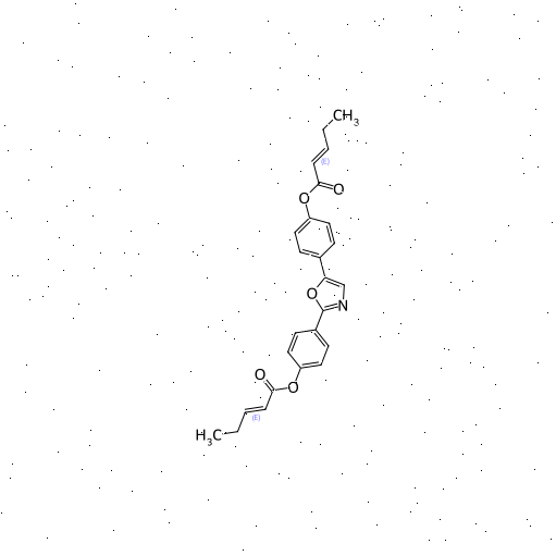 CC/C=C/C(=O)Oc1ccc(-c2cnc(-c3ccc(OC(=O)/C=C/CC)cc3)o2)cc1